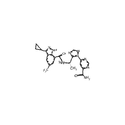 C[C@H](NC(=O)c1cc(C(F)(F)F)cc2c(C3CC3)n[nH]c12)c1ncnn1-c1cc(C(N)=O)ncn1